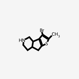 Cc1sc2c(c1Br)C1CNCCC1C2